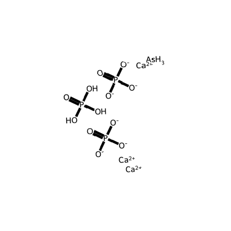 O=P(O)(O)O.O=P([O-])([O-])[O-].O=P([O-])([O-])[O-].[AsH3].[Ca+2].[Ca+2].[Ca+2]